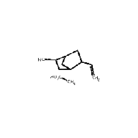 C=CC1CC2CC1CC2O.CC(=O)O